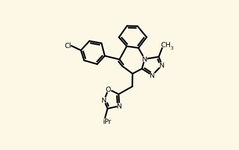 Cc1nnc2n1-c1ccccc1C(c1ccc(Cl)cc1)=CC2Cc1nc(C(C)C)no1